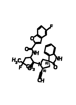 C#C[C@@H]1C[C@@]2(CN1C(=O)C(CC(C)(C)F)NC(=O)c1cc3cc(F)ccc3o1)C(=O)Nc1ccccc12